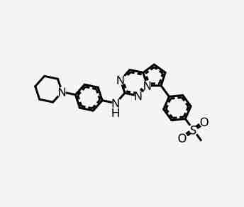 CS(=O)(=O)c1ccc(-c2ccc3cnc(Nc4ccc(N5CCCCC5)cc4)nn23)cc1